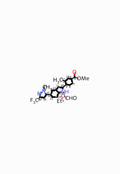 CCOC=O.COC(=O)c1ccc(-c2cc3cc(-c4cc(C(F)(F)F)nn4C)ccc3[nH]2)c(C)c1